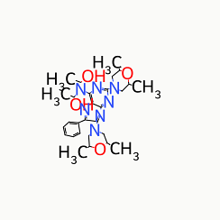 CC1CN(c2nc(N(C(C)O)C(C)O)c3nc(-c4ccccc4)c(N4CC(C)OC(C)C4)nc3n2)CC(C)O1